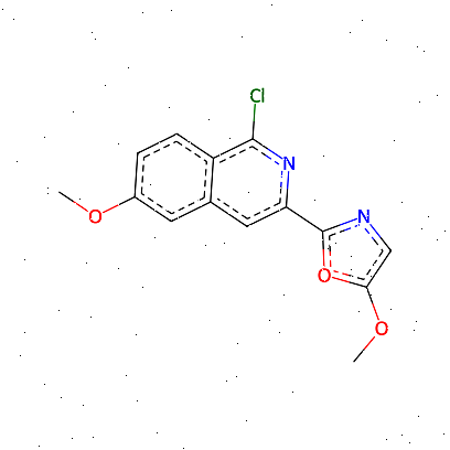 COc1ccc2c(Cl)nc(-c3ncc(OC)o3)cc2c1